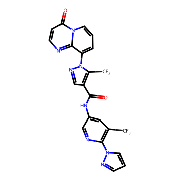 O=C(Nc1cnc(-n2cccn2)c(C(F)(F)F)c1)c1cnn(-c2cccn3c(=O)ccnc23)c1C(F)(F)F